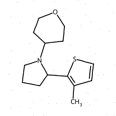 Cc1ccsc1C1CCCN1C1CCOCC1